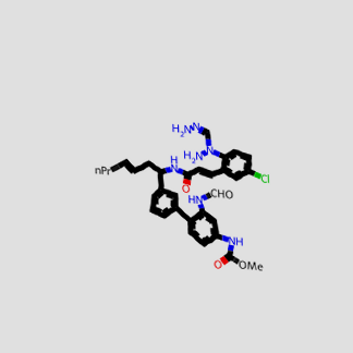 CCC/C=C/CC(NC(=O)/C=C/c1cc(Cl)ccc1N(N)/C=N\N)c1cccc(-c2ccc(NC(=O)OC)cc2NC=O)c1